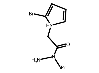 CC(C)N(N)C(=O)C[SH]1C=CC=C1Br